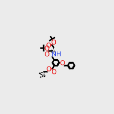 CC(C)(C)OC(=O)C[C@H](NCc1cc(OCc2ccccc2)cc(C(=O)OCC[Si](C)(C)C)c1)C(=O)OC(C)(C)C